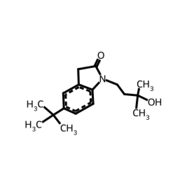 CC(C)(O)CCN1C(=O)Cc2cc(C(C)(C)C)ccc21